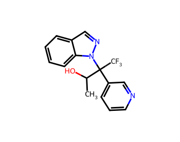 CC(O)C(c1cccnc1)(n1ncc2ccccc21)C(F)(F)F